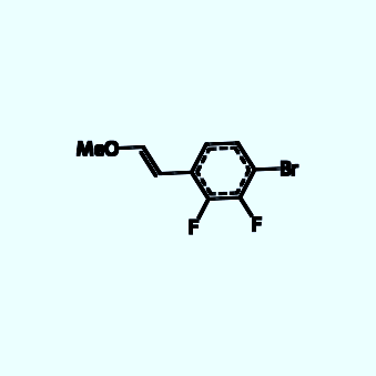 CO/C=C/c1ccc(Br)c(F)c1F